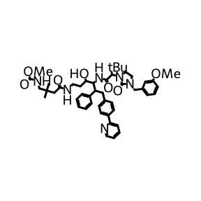 COC(=O)NCC(C)(C)CC(=O)NCCC(O)C(NC(=O)C(N1CCN(Cc2cccc(OC)c2)C1=O)C(C)(C)C)C(Cc1ccc(-c2ccccn2)cc1)c1ccccc1